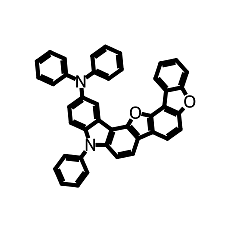 c1ccc(N(c2ccccc2)c2ccc3c(c2)c2c4oc5c(ccc6oc7ccccc7c65)c4ccc2n3-c2ccccc2)cc1